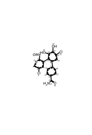 COc1ncc(Cl)cc1-c1c(-c2ccc(C(N)=O)cc2)cc(Cl)c(O)c1O